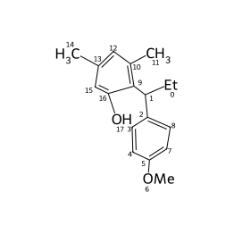 CCC(c1ccc(OC)cc1)c1c(C)cc(C)cc1O